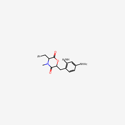 CC(=O)Nc1ccc(CC2OC(=O)C(CC(C)C)N(C)C2=O)c(NC(C)=O)c1